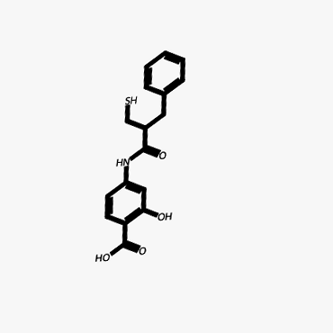 O=C(O)c1ccc(NC(=O)C(CS)Cc2ccccc2)cc1O